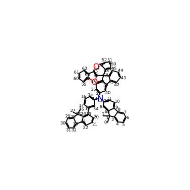 CC1(C)c2ccccc2-c2ccc(N(c3cccc(-c4cccc5c4C(C)(C)c4ccccc4-5)c3)c3ccc4c(c3)-c3ccccc3C43c4ccccc4Oc4c3oc3ccccc43)cc21